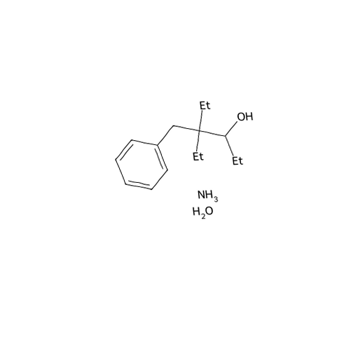 CCC(O)C(CC)(CC)Cc1ccccc1.N.O